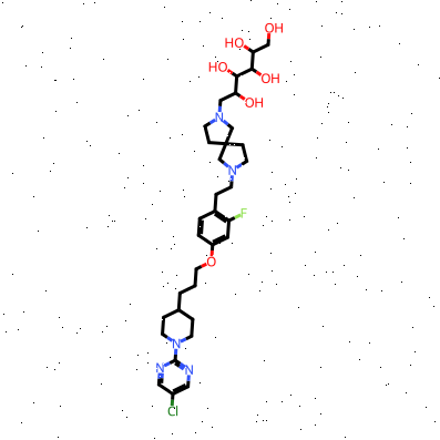 OCC(O)C(O)C(O)C(O)CN1CCC2(CCN(CCc3ccc(OCCCC4CCN(c5ncc(Cl)cn5)CC4)cc3F)C2)C1